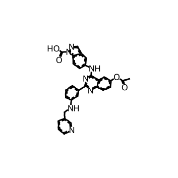 CC(=O)Oc1ccc2nc(-c3cccc(NCc4cccnc4)c3)nc(Nc3ccc4c(cnn4C(=O)O)c3)c2c1